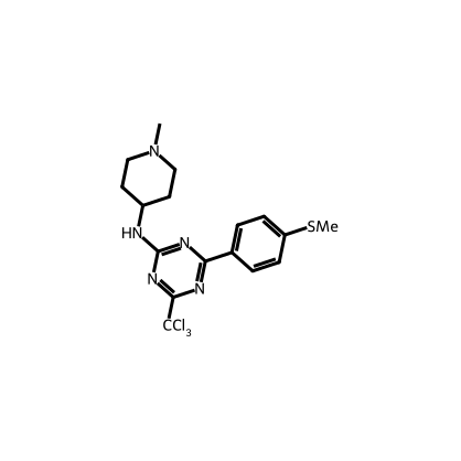 CSc1ccc(-c2nc(NC3CCN(C)CC3)nc(C(Cl)(Cl)Cl)n2)cc1